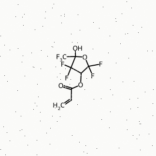 C=CC(=O)OC1C(F)(F)OC(O)(C(F)(F)F)C1(F)F